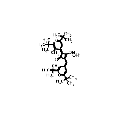 CC1=C(C(C)(C)C)[S+]=C(C(C)(C)C)CC1=C1C(=O)C(C=C2C=C(C(C)(C)C)OC(C(C)(C)C)=C2)=C1O.[OH-]